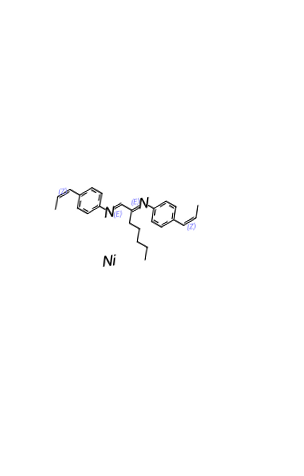 C/C=C\c1ccc(/N=C/C(CCCCC)=N/c2ccc(/C=C\C)cc2)cc1.[Ni]